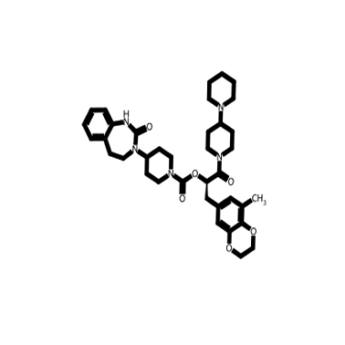 Cc1cc(C[C@@H](OC(=O)N2CCC(N3CCc4ccccc4NC3=O)CC2)C(=O)N2CCC(N3CCCCC3)CC2)cc2c1OCCO2